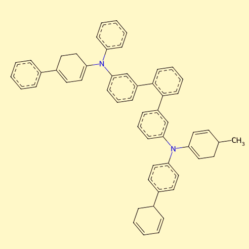 CC1C=CC(N(c2ccc(C3C=CC=CC3)cc2)c2cccc(-c3ccccc3-c3cccc(N(C4=CC=C(c5ccccc5)CC4)c4ccccc4)c3)c2)=CC1